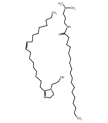 CCCCCCCC/C=C\CCCCCCCCC1=NCCN1CCO.CCCCCCCCCCCCCCCCCC(=O)NCCCN(C)C